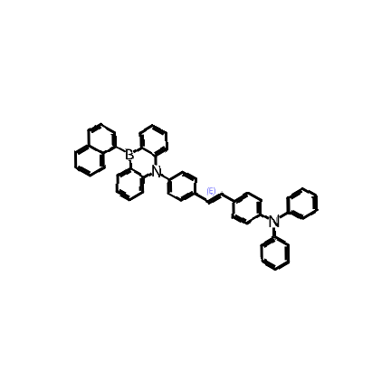 C(=C\c1ccc(N2c3ccccc3B(c3cccc4ccccc34)c3ccccc32)cc1)/c1ccc(N(c2ccccc2)c2ccccc2)cc1